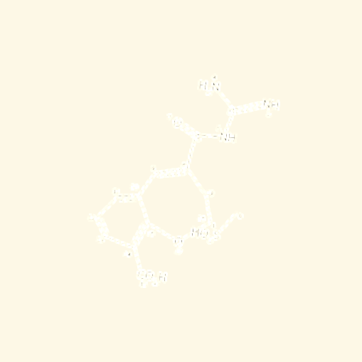 CS(=O)(=O)O.N=C(N)NC(=O)C1=Cc2cccc(C(=O)O)c2OCC1